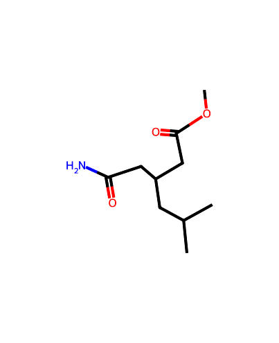 COC(=O)CC(CC(N)=O)CC(C)C